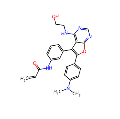 C=CC(=O)Nc1cccc(-c2c(-c3ccc(N(C)C)cc3)oc3ncnc(NCCO)c23)c1